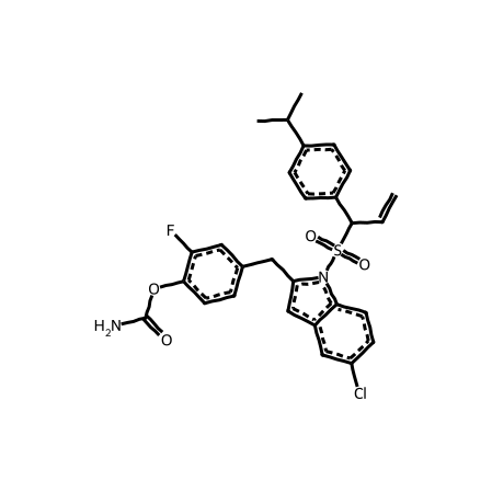 C=CC(c1ccc(C(C)C)cc1)S(=O)(=O)n1c(Cc2ccc(OC(N)=O)c(F)c2)cc2cc(Cl)ccc21